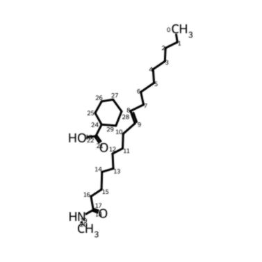 CCCCCCCCC=CCCCCCCCC(=O)NC.O=C(O)C1CCCCC1